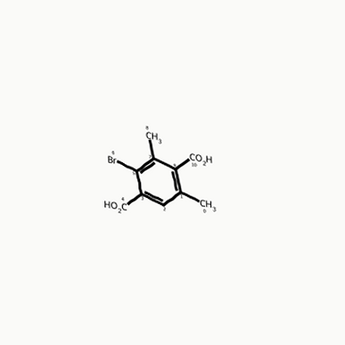 Cc1cc(C(=O)O)c(Br)c(C)c1C(=O)O